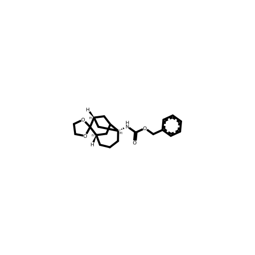 O=C(N[C@@]12CCC[C@H]3CC1C[C@H](C2)C31OCCO1)OCc1ccccc1